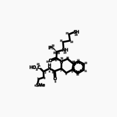 CSCCC(NC(=O)C1Cc2ccccc2CN1C(=O)[C@@H](NCCCS)C(C)C)C(=O)O